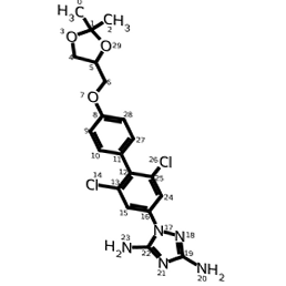 CC1(C)OCC(COc2ccc(-c3c(Cl)cc(-n4nc(N)nc4N)cc3Cl)cc2)O1